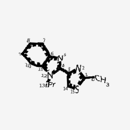 Cc1nc(-c2nc3ccccc3n2C(C)C)cs1